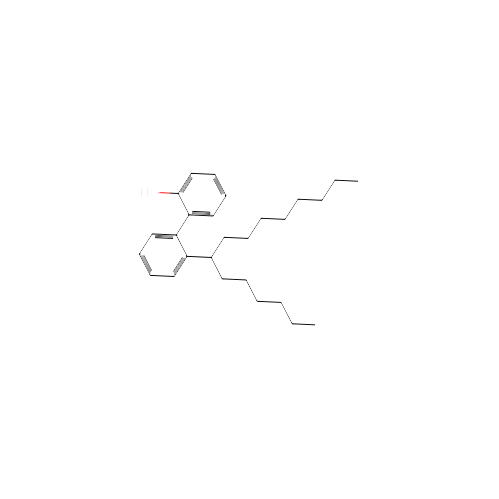 CCCCCCCCC(CCCCCC)c1ccccc1-c1ccccc1O